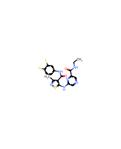 CCNC(=O)c1cncc(Nc2snc(C)c2C(=O)Nc2ccc(F)c(F)c2)n1